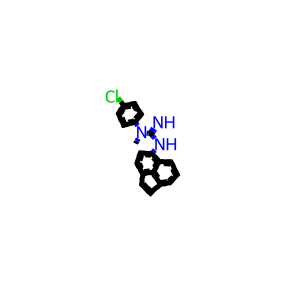 CN(C(=N)Nc1ccc2c3c(cccc13)C=C2)c1ccc(Cl)cc1